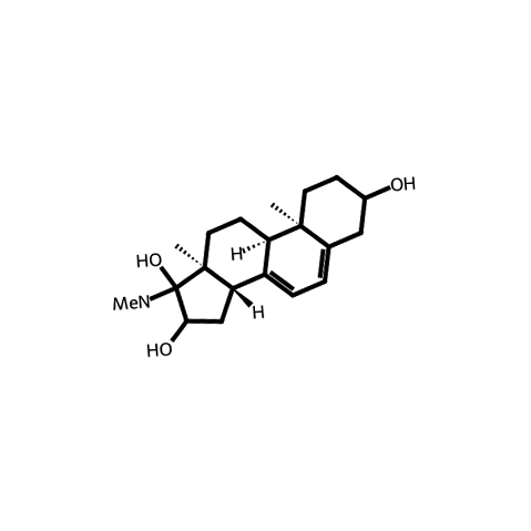 CNC1(O)C(O)C[C@H]2C3=CC=C4CC(O)CC[C@]4(C)[C@@H]3CC[C@@]21C